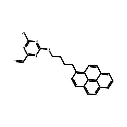 O=Cc1nc(Cl)nc(OCCCCc2ccc3ccc4cccc5ccc2c3c45)n1